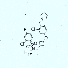 CN(CC1CC(Oc2ccc(CN3CCCC3)c(Cl)c2)C1)S(=O)(=O)c1ccc(F)cc1Cl